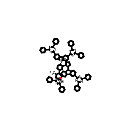 C#C/C=C(\C(=C/C)c1ccc(-n2c3ccc(-c4nc(-c5ccccc5)nc(-c5ccccc5)n4)cc3c3cc(-c4nc(-c5ccccc5)nc(-c5ccccc5)n4)ccc32)c(C2=C(C#N)C=CC2C2c3ccc(-c4nc(-c5ccccc5)nc(-c5ccccc5)n4)cc3-c3cc(-c4nc(-c5ccccc5)nc(-c5ccccc5)n4)ccc32)c1)C(F)(F)F